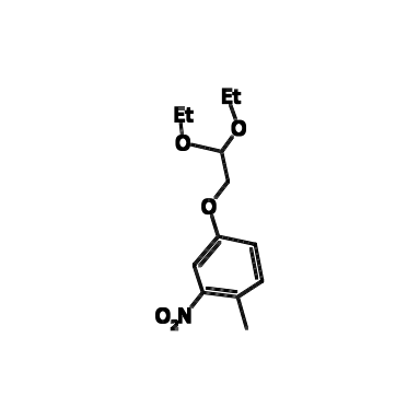 CCOC(COc1ccc(C)c([N+](=O)[O-])c1)OCC